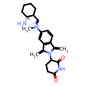 C=c1c2ccc(/[N+](C)=C/C3CCCC[C@H]3N)cc2c(=C)n1C1CCC(=O)NC1=O